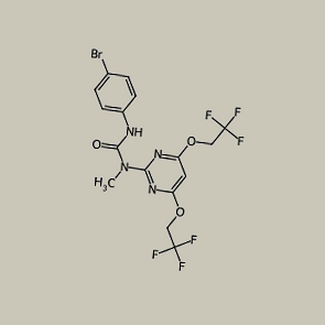 CN(C(=O)Nc1ccc(Br)cc1)c1nc(OCC(F)(F)F)cc(OCC(F)(F)F)n1